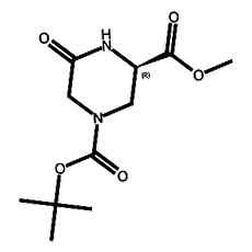 COC(=O)[C@H]1CN(C(=O)OC(C)(C)C)CC(=O)N1